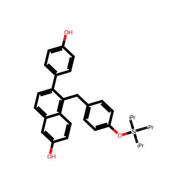 CC(C)[Si](Oc1ccc(Cc2c(-c3ccc(O)cc3)ccc3cc(O)ccc23)cc1)(C(C)C)C(C)C